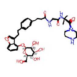 CC(C)(NC(=O)CNC(=O)CCc1ccc(CCc2coc3cccc(O[C@@H]4O[C@H](CO)[C@@H](O)[C@H](O)[C@H]4O)c23)cc1)C(=O)N1CCNCC1